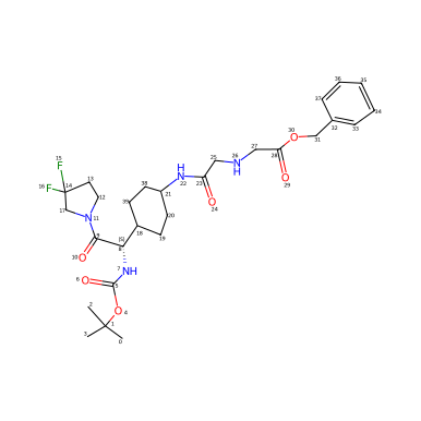 CC(C)(C)OC(=O)N[C@H](C(=O)N1CCC(F)(F)C1)C1CCC(NC(=O)CNCC(=O)OCc2ccccc2)CC1